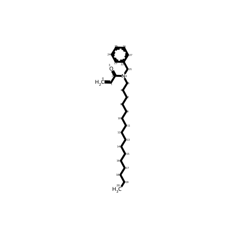 C=CC(=O)N(CCCCCCCCCCCCCCCC)Cc1ccccc1